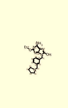 CCOc1nc(N)c2nc(O)n(Cc3cccc(CN4CCCC4)c3)c2n1